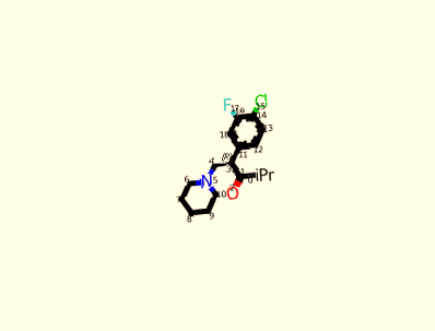 CC(C)C(=O)[C@@H](CN1CCCCC1)c1ccc(Cl)c(F)c1